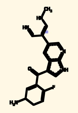 CN/C=C(\C=N)c1cnc2[nH]cc(C(=O)C3=CC(N)CC=C3F)c2c1